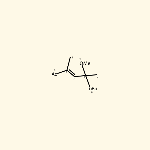 CCCCC(C)(C=C(C)C(C)=O)OC